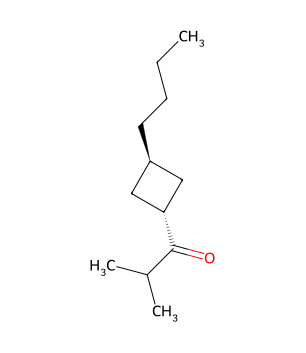 CCCC[C@H]1C[C@H](C(=O)C(C)C)C1